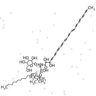 CC#CC#CC#CC#CC#CC#CC#CC#CC#CC#CC#C[C@@H](O)[C@@H](O)C(=O)N[C@@H](COC1OC(CO)C(O)C(O)C1O)[C@H](O)[C@@H](CCCCCCCCCCCCCC)O[Si](C)(C)C(C)(C)C